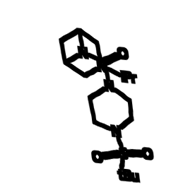 CC(C)N1CC2CC(C1)N2C(=O)N1CCN(S(=O)(=O)C(C)(C)C)CC1